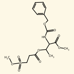 COC(=O)C(NC(=O)OCc1ccccc1)C(C)OC(=O)CCS(=O)(=O)OC